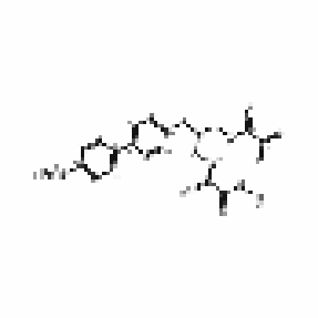 C=C(C)C(=O)OCC(COC(=O)C(=C)CO)Cc1ccc(-c2ccc(CCCCC)cc2)cc1